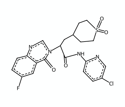 O=C(Nc1ccc(Cl)cn1)C(CC1CCS(=O)(=O)CC1)n1cnc2ccc(F)cc2c1=O